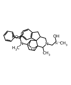 CC1N(C[C@@H](C)O)CC2Cc3ccc(O)cc3C23C2COC13CCC2N(C)C(=O)c1ccccc1